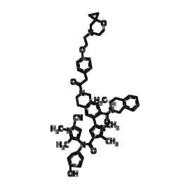 Cc1c(N(C(=O)c2cc(-c3cc4c(cc3C(=O)N3Cc5ccccc5C[C@H]3C)CN(C(=O)Cc3ccc(OCCN5CCOC6(CC6)C5)cc3)CC4)n(C)c2C)c2ccc(O)cc2)cc(C#N)n1C